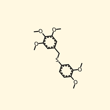 COc1ccc(SCc2cc(OC)c(OC)c(OC)c2)cc1OC